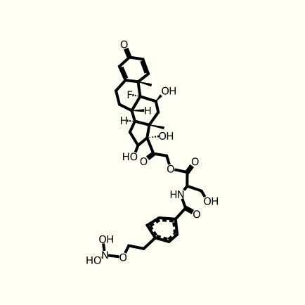 C[C@]12C=CC(=O)C=C1CC[C@H]1[C@@H]3CC(O)[C@](O)(C(=O)COC(=O)C(CO)NC(=O)c4ccc(CCON(O)O)cc4)[C@@]3(C)C[C@H](O)[C@@]12F